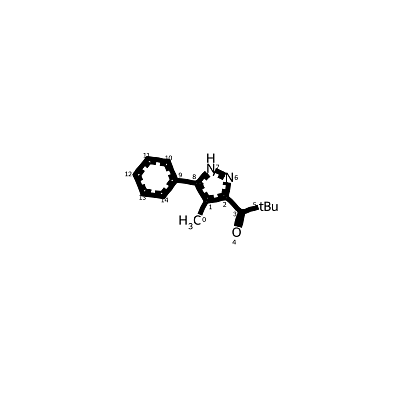 Cc1c(C(=O)C(C)(C)C)n[nH]c1-c1ccccc1